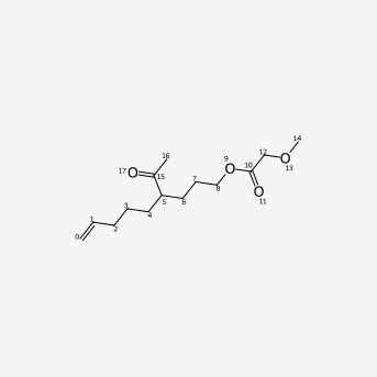 C=CCCCC(CCCOC(=O)COC)C(C)=O